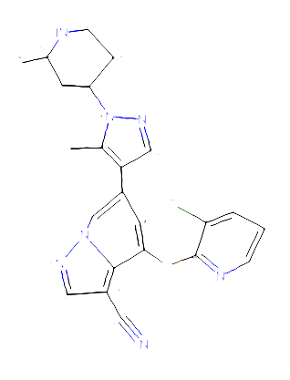 Cc1c(-c2cc(Sc3ncccc3F)c3c(C#N)cnn3c2)cnn1C1CCNC(C)C1